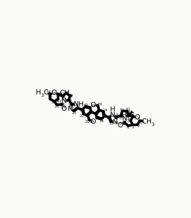 CC1CC2CC(=O)N3C(c4ncc(-c5cc6c7c(c5)OCc5cc(-c8cnc(C9CCC%10N9C(=O)CC9CC(C)O[C@]%10(C)C9)[nH]8)cc(c5-7)OC6)[nH]4)CC[C@@H]3C(C)(C2)O1